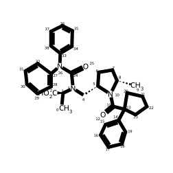 C[C@@H](C(=O)O)N(C[C@@H]1CC[C@H](C)N1C(=O)C1(c2ccccc2)CCCC1)C(=O)N(c1ccccc1)c1ccccc1